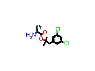 CC(C)C(N)C(=O)OC(C)(C)Cc1cc(Cl)cc(Cl)c1